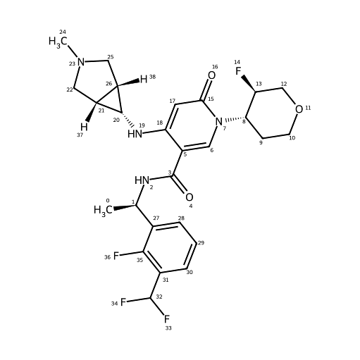 C[C@@H](NC(=O)c1cn([C@H]2CCOC[C@@H]2F)c(=O)cc1N[C@@H]1[C@@H]2CN(C)C[C@@H]21)c1cccc(C(F)F)c1F